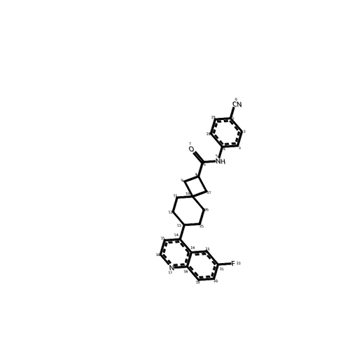 N#Cc1ccc(NC(=O)C2CC3(CCC(c4ccnc5ccc(F)cc45)CC3)C2)cc1